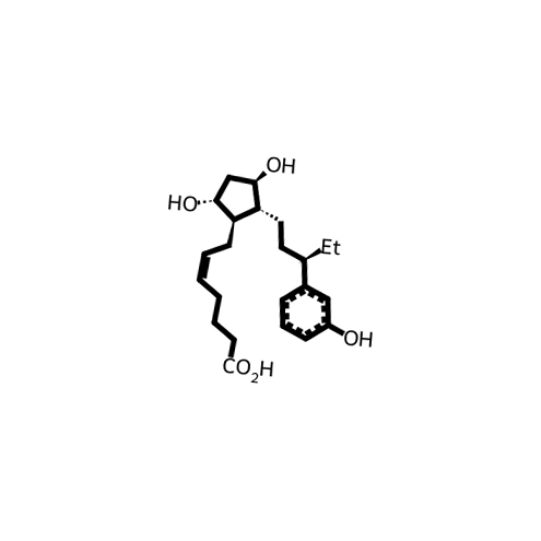 CC[C@H](CC[C@@H]1[C@@H](C/C=C\CCCC(=O)O)[C@H](O)C[C@H]1O)c1cccc(O)c1